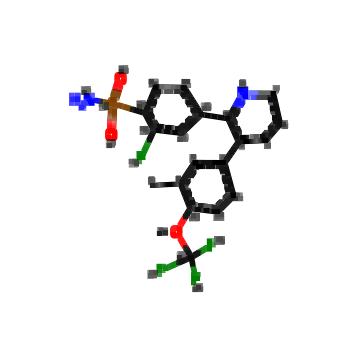 Cc1cc(-c2cccnc2-c2ccc(S(N)(=O)=O)c(F)c2)ccc1OC(F)(F)F